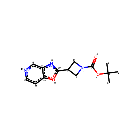 CC(C)(C)OC(=O)N1CC(c2nc3cnccc3o2)C1